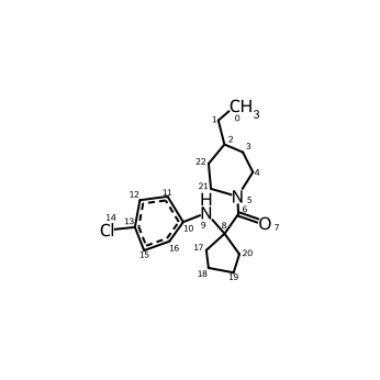 CCC1CCN(C(=O)C2(Nc3ccc(Cl)cc3)CCCC2)CC1